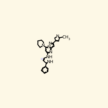 CC1=NCC(c2cc3nc(N/C=C\C(=N)c4ccccc4)cc(N4CCCCC4)n3n2)=C1